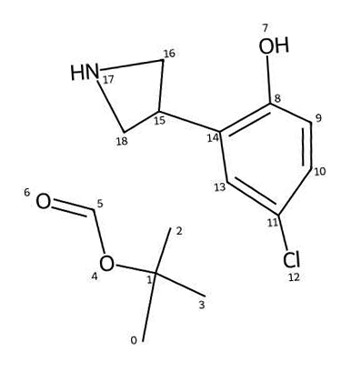 CC(C)(C)OC=O.Oc1ccc(Cl)cc1C1CNC1